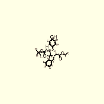 CCOC(=O)CN(Cc1ccccc1)C(=O)[C@@H](Cc1ccc(O)cc1)NC(=O)OC(C)(C)C